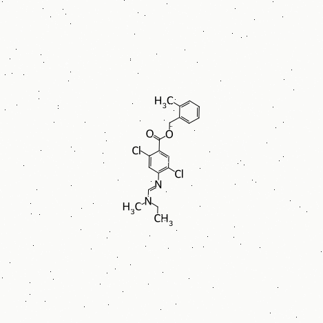 CCN(C)/C=N/c1cc(Cl)c(C(=O)OCc2ccccc2C)cc1Cl